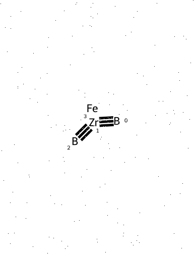 [B]#[Zr]#[B].[Fe]